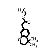 CCOC(=O)Cc1ccc2c(c1)OCCC2(C)C